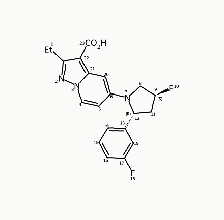 CCc1nn2ccc(N3C[C@@H](F)C[C@@H]3c3cccc(F)c3)cc2c1C(=O)O